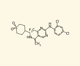 C=C(NCC1CCS(=O)(=O)CC1)c1cnc(Nc2ccc(Cl)cc2Cl)nc1C(F)(F)F